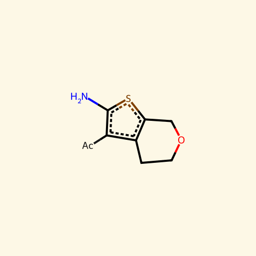 CC(=O)c1c(N)sc2c1CCOC2